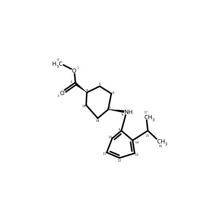 COC(=O)[C@H]1CC[C@@H](Nc2ccccc2C(C)C)CC1